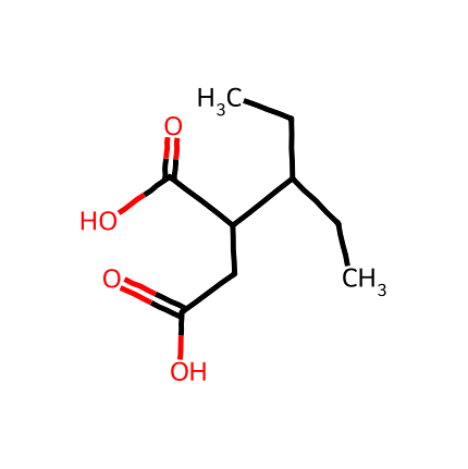 CCC(CC)C(CC(=O)O)C(=O)O